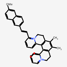 COc1ccc2cc(/C=C/c3cccc4[n+]3CCc3c(C)c(C)c5c(c3-4)-c3c4ccccc4cc[n+]3CC5)ccc2c1